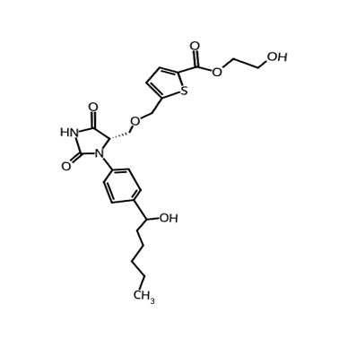 CCCCCC(O)c1ccc(N2C(=O)NC(=O)[C@@H]2COCc2ccc(C(=O)OCCO)s2)cc1